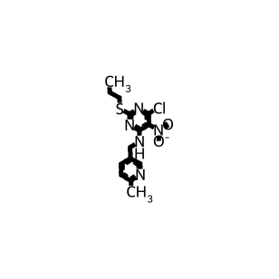 CCCSc1nc(Cl)c([N+](=O)[O-])c(NCc2ccc(C)nc2)n1